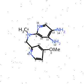 COc1ccnc(CN(C)c2cc(N)c(N)cn2)c1